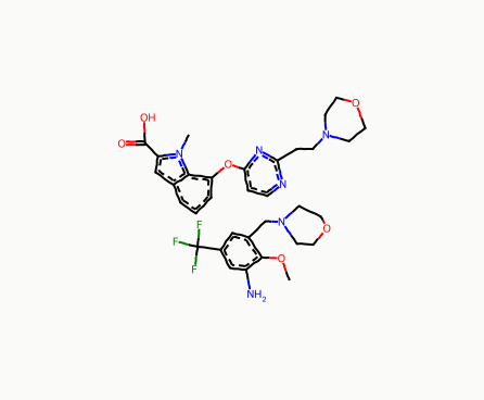 COc1c(N)cc(C(F)(F)F)cc1CN1CCOCC1.Cn1c(C(=O)O)cc2cccc(Oc3ccnc(CCN4CCOCC4)n3)c21